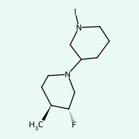 C[C@H]1CCN(C2CCCN(I)C2)C[C@@H]1F